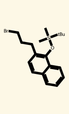 CC(C)(C)[Si](C)(C)Oc1c(CCCBr)ccc2ccccc12